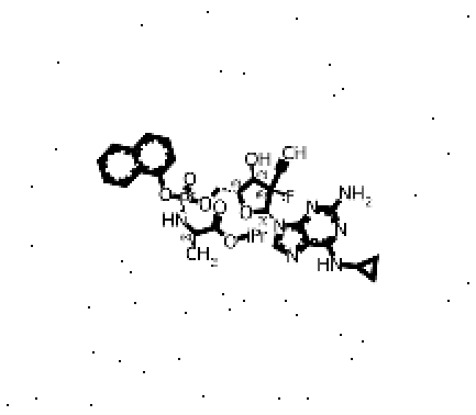 C#C[C@@]1(F)[C@H](O)[C@@H](CO[P@](=O)(N[C@H](C)C(=O)OC(C)C)Oc2cccc3ccccc23)O[C@H]1n1cnc2c(NC3CC3)nc(N)nc21